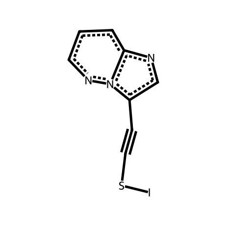 ISC#Cc1cnc2cccnn12